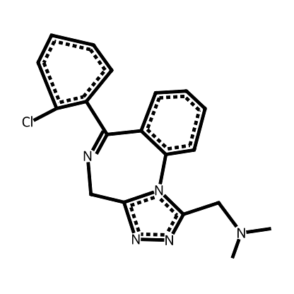 CN(C)Cc1nnc2n1-c1ccccc1C(c1ccccc1Cl)=NC2